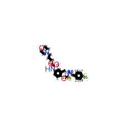 O=C(Nc1cccc(Cn2nc(-c3ccc(F)cc3)sc2=O)c1)OCCCN1CCOCC1